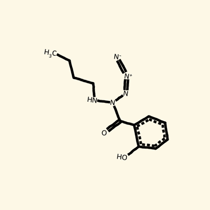 CCCCNN(N=[N+]=[N-])C(=O)c1ccccc1O